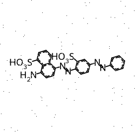 Nc1ccc(/N=N/c2ccc(/N=N/c3ccccc3)cc2S(=O)(=O)O)c2cccc(S(=O)(=O)O)c12